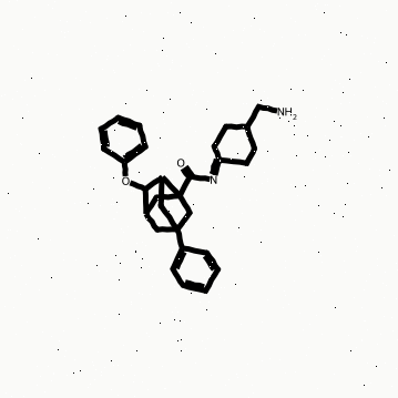 NCC1CCC(=NC(=O)C23CC4CC(c5ccccc5)(CC2C4Oc2ccccc2)C3)CC1